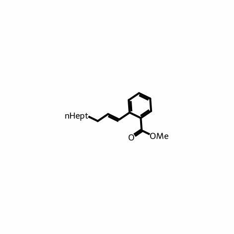 CCCCCCCCC=Cc1ccccc1C(=O)OC